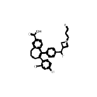 O=C(O)c1ccc2c(c1)CCCC(c1ccc(Cl)cc1Cl)=C2c1ccc(C(F)C2CN(CCCF)C2)cc1